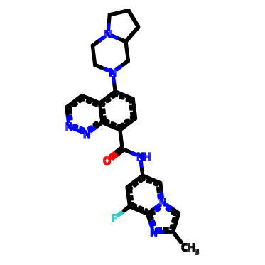 Cc1cn2cc(NC(=O)c3ccc(N4CCN5CCCC5C4)c4ccnnc34)cc(F)c2n1